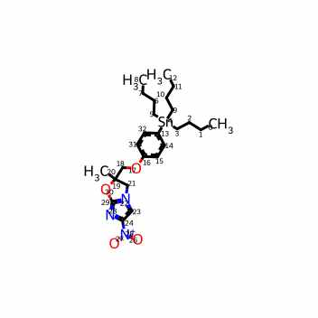 CCC[CH2][Sn]([CH2]CCC)([CH2]CCC)[c]1ccc(OCC2(C)Cn3cc([N+](=O)[O-])nc3O2)cc1